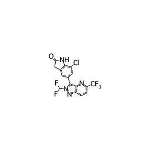 O=C1Cc2cc(-c3c4nc(C(F)(F)F)ccc4nn3C(F)F)cc(Cl)c2N1